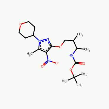 Cc1c([N+](=O)[O-])c(OCC(C)C(C)NC(=O)OC(C)(C)C)nn1C1CCOCC1